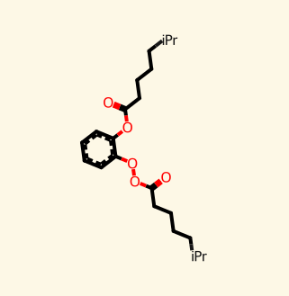 CC(C)CCCCC(=O)OOc1ccccc1OC(=O)CCCCC(C)C